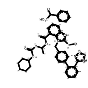 CCC(C(=O)O)c1ccccc1.CCOc1nc2cccc(C(=O)OC(C)OC(=O)OC3CCCCC3)c2n1Cc1ccc(-c2ccccc2-c2nnn[nH]2)cc1